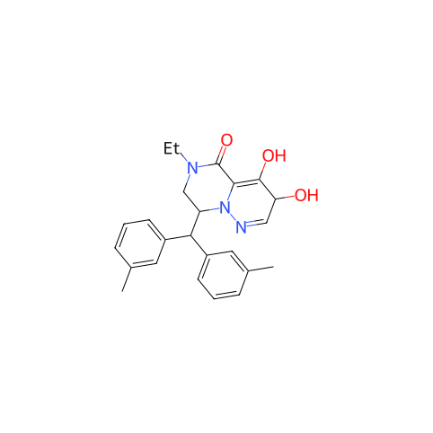 CCN1CC(C(c2cccc(C)c2)c2cccc(C)c2)N2N=CC(O)C(O)=C2C1=O